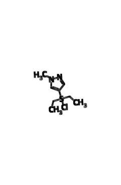 CCS(Cl)(CC)c1cnn(C)c1